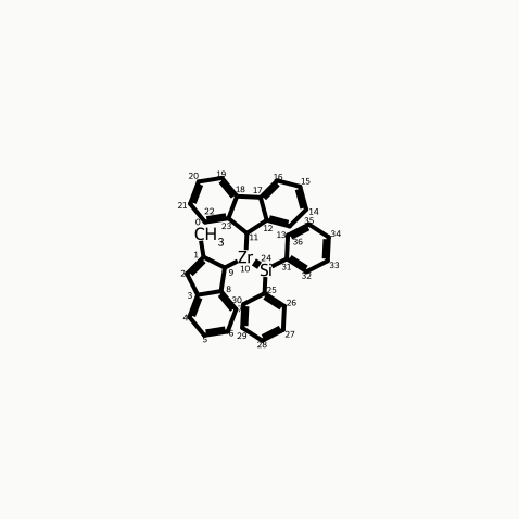 CC1=Cc2ccccc2[CH]1[Zr]([CH]1c2ccccc2-c2ccccc21)=[Si](c1ccccc1)c1ccccc1